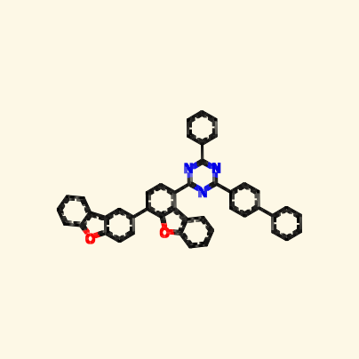 c1ccc(-c2ccc(-c3nc(-c4ccccc4)nc(-c4ccc(-c5ccc6oc7ccccc7c6c5)c5oc6ccccc6c45)n3)cc2)cc1